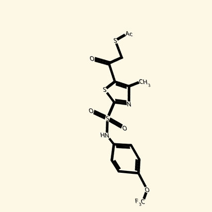 CC(=O)SCC(=O)c1sc(S(=O)(=O)Nc2ccc(OC(F)(F)F)cc2)nc1C